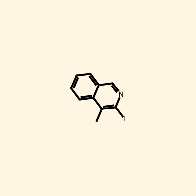 Cc1c(I)ncc2ccccc12